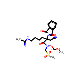 COCON(CS(C)(=O)=O)C(=O)C(CC#N)(CCCCNC(C)=N)N1C(=O)c2ccccc2C1=O